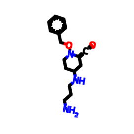 NCCCNC1CCN(OCc2ccccc2)C(=C=O)C1